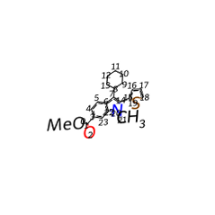 COC(=O)c1ccc2c(C3CCCCC3)c(-c3cccs3)n(C)c2c1